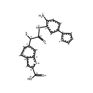 Nc1ccc(-c2cccs2)cc1NC(=O)C(F)c1ccc2cc(C(=O)O)sc2c1